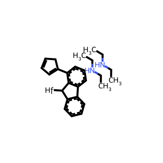 CCNCC.CCNCC.[Hf][CH]1c2ccccc2-c2cccc(C3=CC=CC3)c21